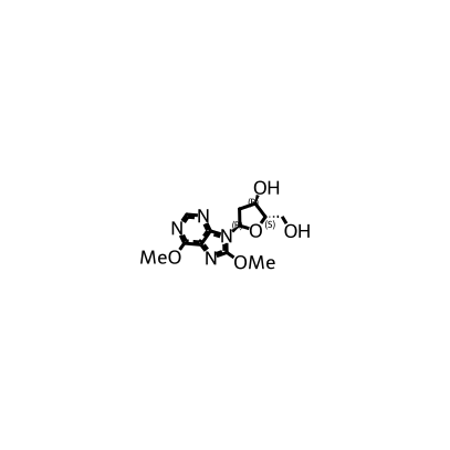 COc1ncnc2c1nc(OC)n2[C@H]1C[C@@H](O)[C@H](CO)O1